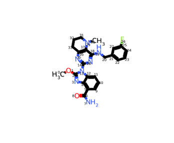 COc1nc2c(C(N)=O)cccc2n1-c1nc2c(c(NCc3cccc(F)c3)n1)N(C)CCC2